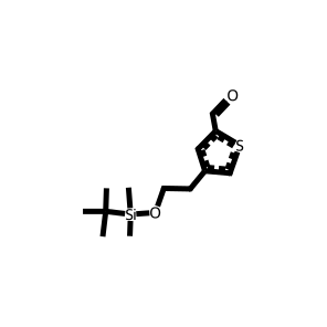 CC(C)(C)[Si](C)(C)OCCc1csc(C=O)c1